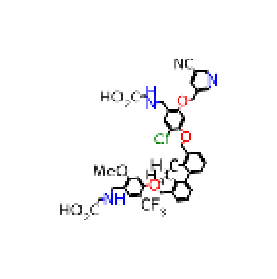 COc1cc(OCc2cccc(-c3cccc(COc4cc(OCc5cncc(C#N)c5)c(CNCC(=O)O)cc4Cl)c3C)c2C)c(C(F)(F)F)cc1CNCC(=O)O